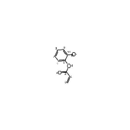 C=CC(=O)Oc1ccccc1[O]